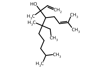 C=CC(C)(O)C(CC=C(C)C)C(C)(CC)CCCC(C)C